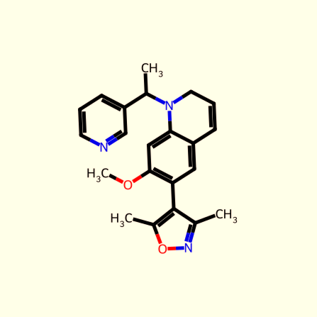 COc1cc2c(cc1-c1c(C)noc1C)C=CCN2C(C)c1cccnc1